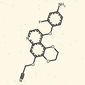 N#CCOc1cc2nccc(Oc3ccc(N)cc3F)c2c2c1OCCO2